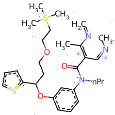 C=N/C(C)=C(\C=N/C)C(=O)N(CCC)c1cccc(OC(CCOCCS(C)(C)C)c2cccs2)c1